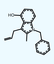 C=CCc1c(C)n(Cc2ccccc2)c2cccc(O)c12